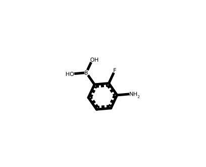 Nc1cccc(B(O)O)c1F